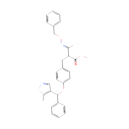 COC(=O)C(Cc1ccc(OC(c2ccccc2)c2cn[nH]c2C)cc1)C(C)=NOCc1ccccc1